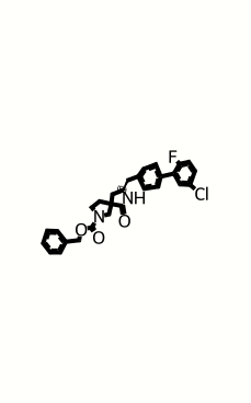 O=C(OCc1ccccc1)N1CCC2(C[C@@H](Cc3ccc(-c4cc(Cl)ccc4F)cc3)NC2=O)C1